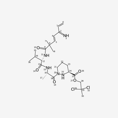 C=CC(=N)/C=C/C(C)(C)C(=O)N[C@H](C(=O)N[C@@H](C)C(=O)N1CCC[C@@H](C(=O)OCC(C)(Cl)Cl)N1)C(C)C